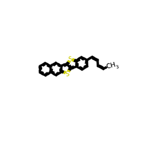 C/C=C\C=C/c1ccc2c(c1)sc1c3cc4ccccc4cc3sc21